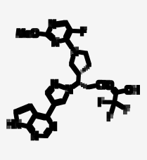 COc1ncc(F)c(N2CC[C@H]([C@H](CC#N)n3cc(-c4ncnc5[nH]ccc45)cn3)C2)n1.O=C(O)C(F)(F)F